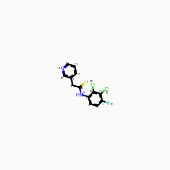 Fc1ccc(NC(=S)Cc2cccnc2)c(Cl)c1Cl